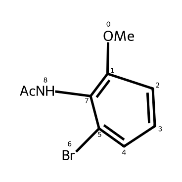 COc1cccc(Br)c1NC(C)=O